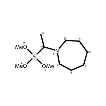 CO[Si](OC)(OC)C(C)N1CCCCCC1